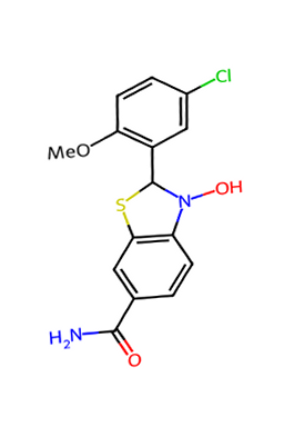 COc1ccc(Cl)cc1C1Sc2cc(C(N)=O)ccc2N1O